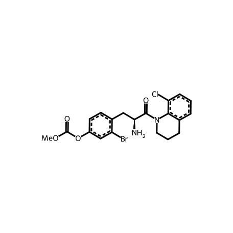 COC(=O)Oc1ccc(C[C@H](N)C(=O)N2CCCc3cccc(Cl)c32)c(Br)c1